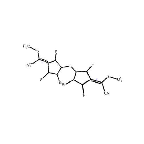 N#C/C(SC(F)(F)F)=C1\C(F)C(Br)C(SC2C(F)/C(=C(/C#N)SC(F)(F)F)C(F)C2Br)C1F